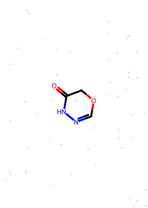 O=C1CO[C]=NN1